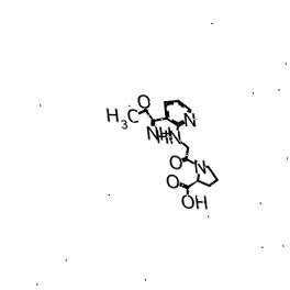 CC(=O)C(=N)c1cccnc1NCC(=O)N1CCC[C@H]1C(=O)O